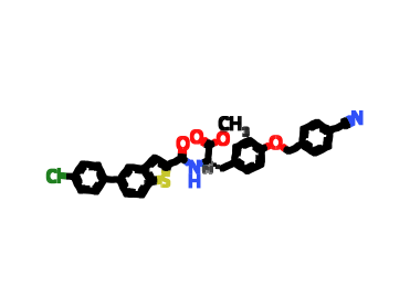 COC(=O)[C@H](Cc1ccc(OCc2ccc(C#N)cc2)cc1)NC(=O)c1cc2cc(-c3ccc(Cl)cc3)ccc2s1